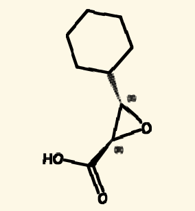 O=C(O)[C@@H]1O[C@H]1C1CCCCC1